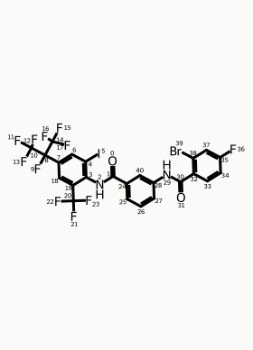 O=C(Nc1c(I)cc(C(F)(C(F)(F)F)C(F)(F)F)cc1C(F)(F)F)c1cccc(NC(=O)c2ccc(F)cc2Br)c1